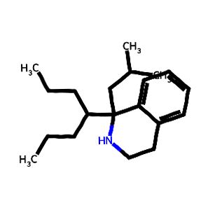 CCCC(CCC)C1(CC(C)C)NCCc2ccccc21